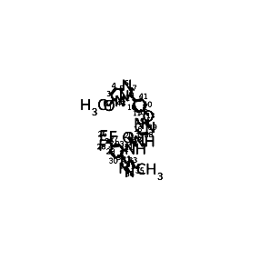 COc1ccc2ncc(-c3ccc(Oc4ncc(NC(=O)Nc5cc(C(F)(F)F)ccc5-n5cc(C)nn5)cn4)cc3)n2n1